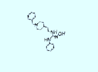 O/N=C(\NCCC1CCN(Cc2ccccc2)CC1)Nc1ccccc1